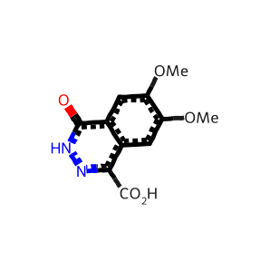 COc1cc2c(C(=O)O)n[nH]c(=O)c2cc1OC